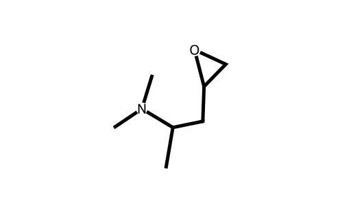 CC(CC1CO1)N(C)C